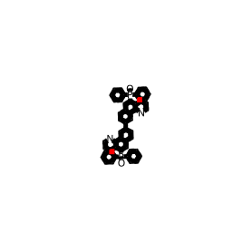 O=P(c1ccccc1)(c1ccccc1)c1cc2ccc(-c3ccc4cc(P(=O)(c5ccccc5)c5ccccc5)c5cccnc5c4c3)cc2c2ncccc12